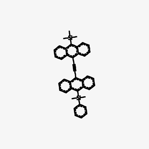 C[Si](C)(C)c1c2ccccc2c(C#Cc2c3ccccc3c([Si](C)(C)c3ccccc3)c3ccccc23)c2ccccc12